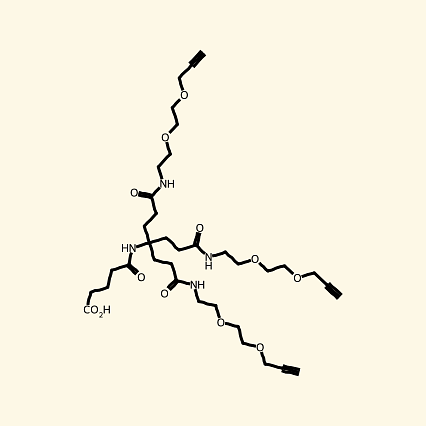 C#CCOCCOCCNC(=O)CCC(CCC(=O)NCCOCCOCC#C)(CCC(=O)NCCOCCOCC#C)NC(=O)CCCC(=O)O